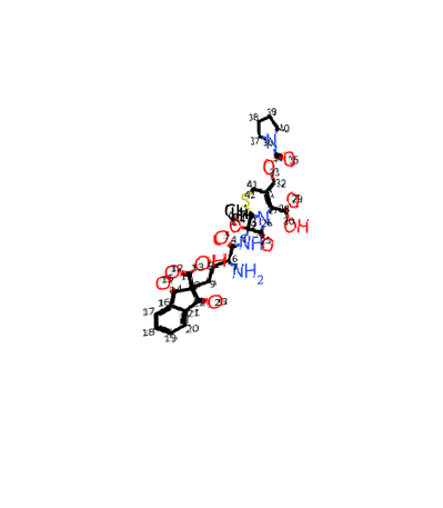 CO[C@@]1(NC(=O)C(N)CCC2(C(=O)O)C(=O)c3ccccc3C2=O)C(=O)N2C(C(=O)O)=C(COC(=O)N3CCCC3)CS[C@H]21